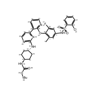 Cc1cc(NS(=O)(=O)c2ccccc2Cl)cc(F)c1Oc1ncccc1-c1ccnc(N[C@H]2CC[C@H](NC(=O)OC(C)(C)C)CC2)n1